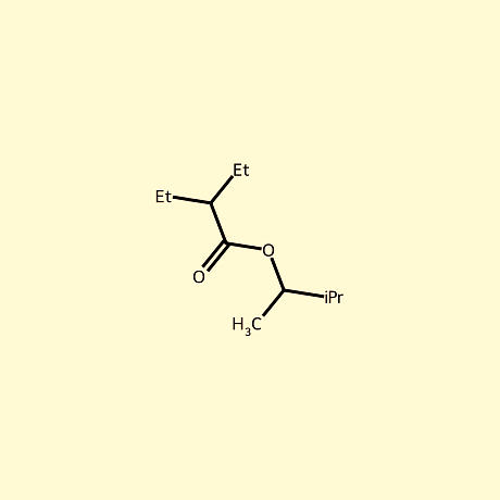 CCC(CC)C(=O)OC(C)C(C)C